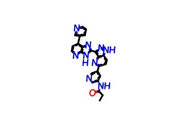 CCC(=O)Nc1cncc(-c2ccc3[nH]nc(-c4nc5c(-c6cccnc6)ccnc5[nH]4)c3n2)c1